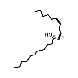 CCCCC/C=C\C/C=C\[C@H](O)CCCCCCCCCC